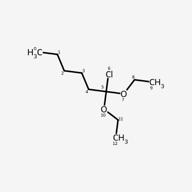 CCCCCC(Cl)(OCC)OCC